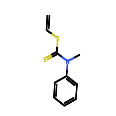 C=CSC(=S)N(C)c1ccccc1